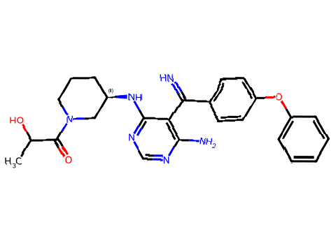 CC(O)C(=O)N1CCC[C@@H](Nc2ncnc(N)c2C(=N)c2ccc(Oc3ccccc3)cc2)C1